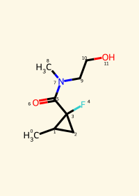 CC1CC1(F)C(=O)N(C)CCO